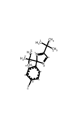 CC(C)(C)C1=NC(c2ccc(F)cc2)(C(C)(C)C)N=C1